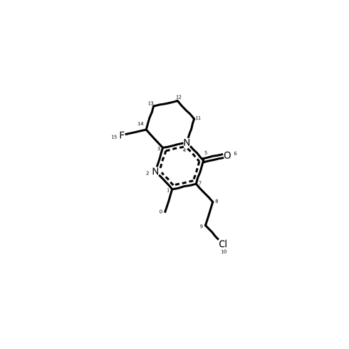 Cc1nc2n(c(=O)c1CCCl)CCCC2F